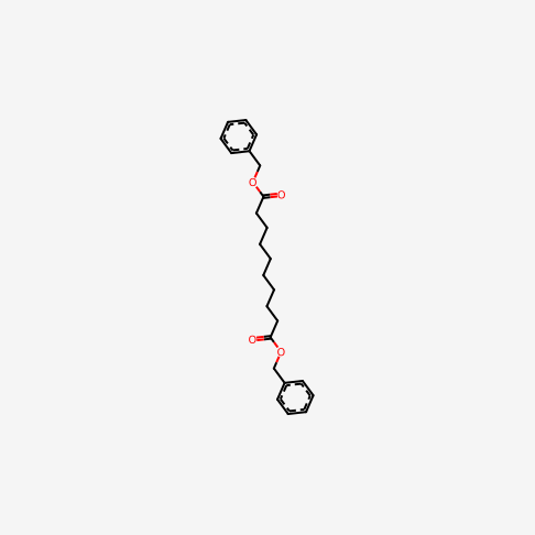 O=C(CCCCCCCCC(=O)OCc1ccccc1)OCc1ccccc1